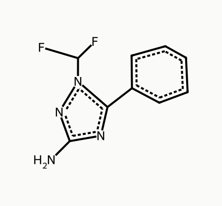 Nc1nc(-c2ccccc2)n(C(F)F)n1